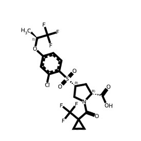 C[C@H](Oc1ccc(S(=O)(=O)[C@@H]2C[C@H](C(=O)O)N(C(=O)C3(C(F)(F)F)CC3)C2)c(Cl)c1)C(F)(F)F